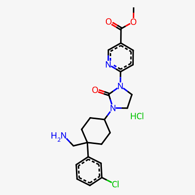 COC(=O)c1ccc(N2CCN(C3CCC(CN)(c4cccc(Cl)c4)CC3)C2=O)nc1.Cl